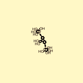 OCCC1(CCO)c2cc(C#C[C@H]3O[C@H](CO)[C@@H](O)[C@H](O)[C@@H]3O)ccc2-c2ccc(C#C[C@H]3O[C@H](CO)[C@@H](O)[C@H](O)[C@@H]3O)cc21